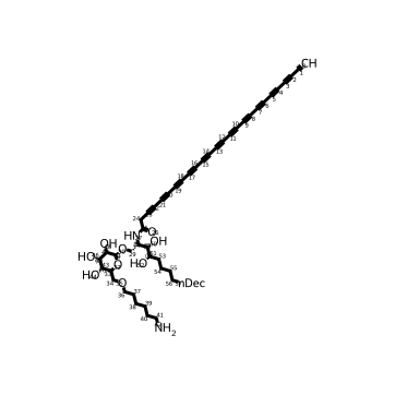 C#CC#CC#CC#CC#CC#CC#CC#CC#CC#CC#CC#CCC(=O)N[C@@H](CO[C@H]1OC(COCCCCCCN)[C@H](O)[C@H](O)C1O)[C@H](O)[C@H](O)CCCCCCCCCCCCCC